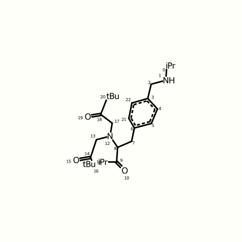 CC(C)NCc1ccc(CC(C(=O)C(C)C)N(CC(=O)C(C)(C)C)CC(=O)C(C)(C)C)cc1